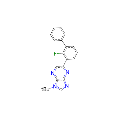 CC(C)(C)n1cnc2nc(-c3cccc(-c4ccccc4)c3F)cnc21